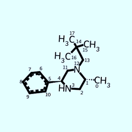 C[C@@H]1CN[C@@H](c2ccccc2)CN1CC(C)(C)C